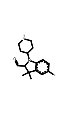 CC1(C)c2cc(F)ccc2N(C2CCNCC2)C1C=O